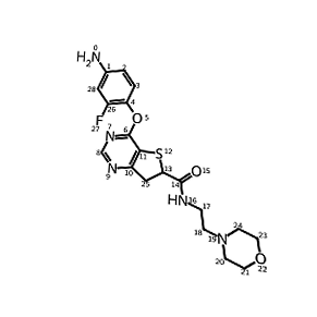 Nc1ccc(Oc2ncnc3c2SC(C(=O)NCCN2CCOCC2)C3)c(F)c1